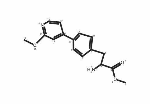 COC(=O)C(N)Cc1ccc(-c2ccnc(OC)c2)cc1